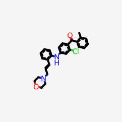 Cc1ccccc1C(=O)c1ccc(Nc2ccccc2/C=C/CN2CCOCC2)cc1Cl